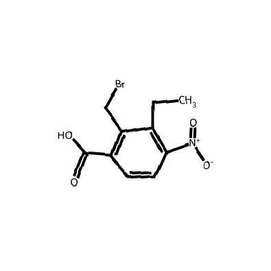 CCc1c([N+](=O)[O-])ccc(C(=O)O)c1CBr